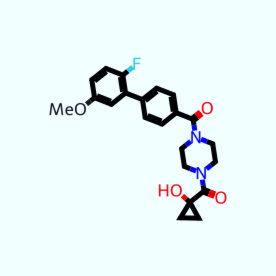 COc1ccc(F)c(-c2ccc(C(=O)N3CCN(C(=O)C4(O)CC4)CC3)cc2)c1